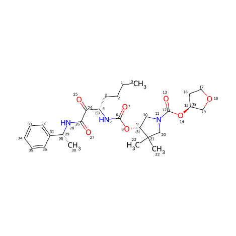 CCCC[C@H](NC(=O)O[C@@H]1CN(C(=O)O[C@H]2CCOC2)CC1(C)C)C(=O)C(=O)N[C@H](C)c1ccccc1